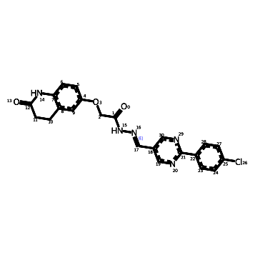 O=C(COc1ccc2c(c1)CCC(=O)N2)N/N=C/c1cnc(-c2ccc(Cl)cc2)nc1